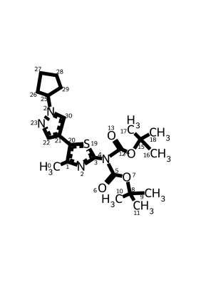 Cc1nc(N(C(=O)OC(C)(C)C)C(=O)OC(C)(C)C)sc1-c1cnn(C2CCCC2)c1